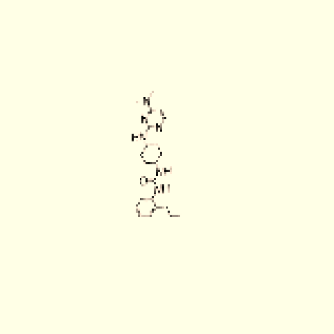 CCCc1ccccc1NC(=O)N[C@H]1CC[C@@H](Nc2nccc(N(C)C)n2)CC1